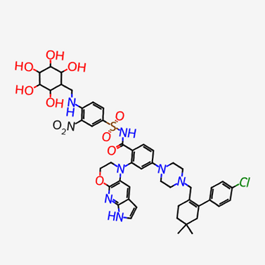 CC1(C)CCC(CN2CCN(c3ccc(C(=O)NS(=O)(=O)c4ccc(NCC5C(O)C(O)C(O)C(O)C5O)c([N+](=O)[O-])c4)c(N4CCOc5nc6[nH]ccc6cc54)c3)CC2)=C(c2ccc(Cl)cc2)C1